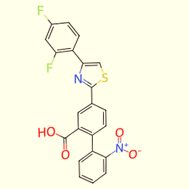 O=C(O)c1cc(-c2nc(-c3ccc(F)cc3F)cs2)ccc1-c1ccccc1[N+](=O)[O-]